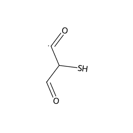 O=[C]C(S)C=O